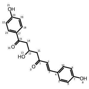 O=C(C=Cc1ccc(O)cc1)CC(O)CC(=O)c1ccc(O)cc1